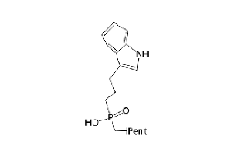 CCCC(C)CP(=O)(O)CCCc1c[nH]c2ccccc12